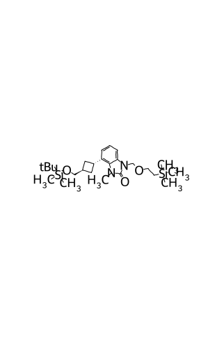 Cn1c(=O)n(COCC[Si](C)(C)C)c2cccc([C@H]3C[C@H](CO[Si](C)(C)C(C)(C)C)C3)c21